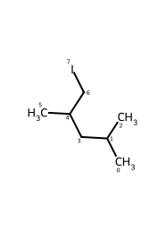 CC(C)CC(C)CI